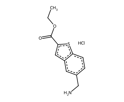 CCOC(=O)c1cc2cc(CN)ccc2s1.Cl